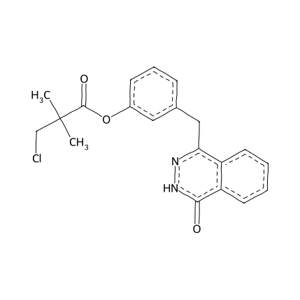 CC(C)(CCl)C(=O)Oc1cccc(Cc2n[nH]c(=O)c3ccccc23)c1